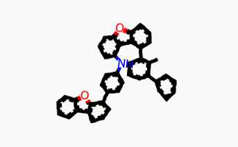 Cc1c(-c2ccccc2)cccc1-c1cccc2oc3cccc(Nc4ccc(-c5cccc6c5oc5ccccc56)cc4)c3c12